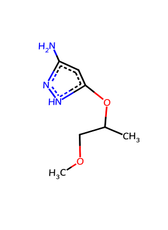 COCC(C)Oc1cc(N)n[nH]1